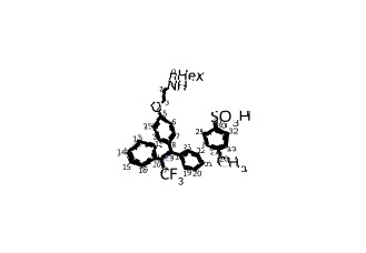 CCCCCCNCCOc1ccc(/C(=C(\c2ccccc2)C(F)(F)F)c2ccccc2)cc1.Cc1ccc(S(=O)(=O)O)cc1